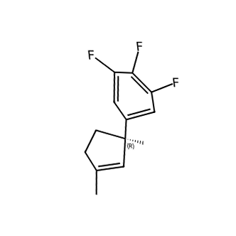 CC1=C[C@](C)(c2cc(F)c(F)c(F)c2)CC1